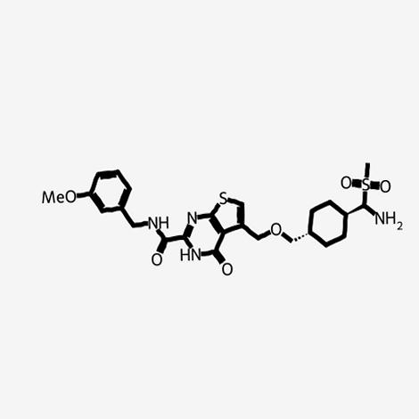 COc1cccc(CNC(=O)c2nc3scc(COC[C@H]4CC[C@H](C(N)S(C)(=O)=O)CC4)c3c(=O)[nH]2)c1